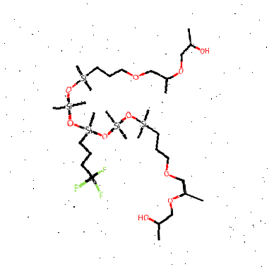 CC(O)COC(C)COCCC[Si](C)(C)O[Si](C)(C)O[Si](C)(CCCC(F)(F)F)O[Si](C)(C)O[Si](C)(C)CCCOCC(C)OCC(C)O